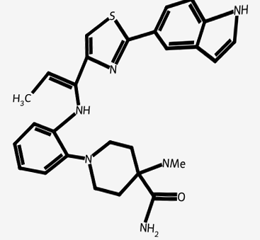 C/C=C(\Nc1ccccc1N1CCC(NC)(C(N)=O)CC1)c1csc(-c2ccc3[nH]ccc3c2)n1